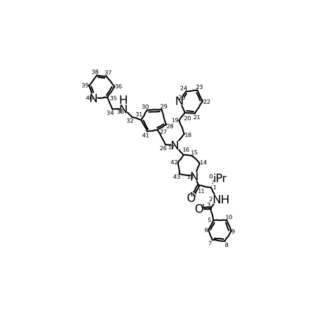 CC(C)[C@H](NC(=O)c1ccccc1)C(=O)N1CCC(N(CCc2ccccn2)Cc2cccc(CNCc3ccccn3)c2)CC1